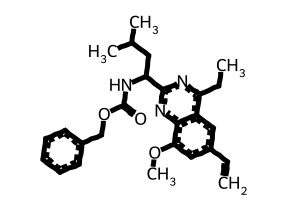 C=Cc1cc(OC)c2nc(C(CC(C)C)NC(=O)OCc3ccccc3)nc(CC)c2c1